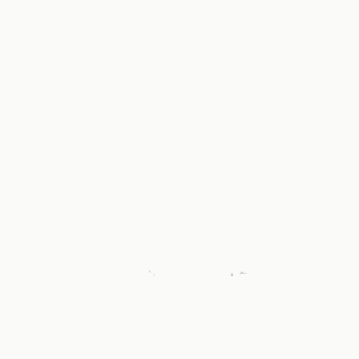 CCCCCC=C(CCCCCCCC(=O)O)[N+](=O)[O-]